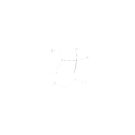 ClCCCl.O=C(O)C(F)(F)F